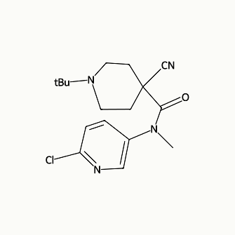 CN(C(=O)C1(C#N)CCN(C(C)(C)C)CC1)c1ccc(Cl)nc1